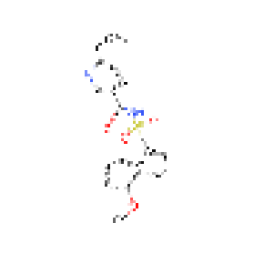 CCOc1cccc2c(S(=O)(=O)NC(=O)c3ccc(COC(C)=O)nc3)cccc12